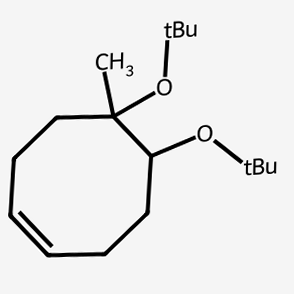 CC(C)(C)OC1CCC=CCCC1(C)OC(C)(C)C